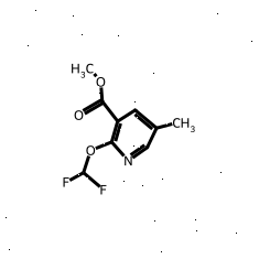 COC(=O)c1cc(C)cnc1OC(F)F